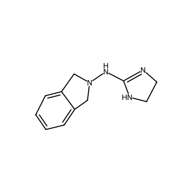 c1ccc2c(c1)CN(NC1=NCCN1)C2